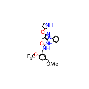 COCc1ccc(OC(F)(F)F)c(CNC(=O)Nc2c(C)c(O[C@H]3CCNC3)nn2-c2ccccc2)c1